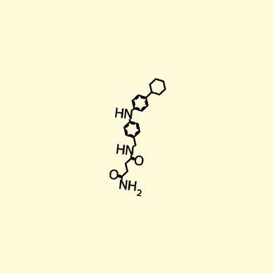 NC(=O)CCC(=O)NCc1ccc(Nc2ccc(C3CCCCC3)cc2)cc1